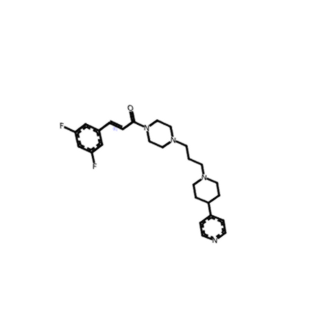 O=C(/C=C/c1cc(F)cc(F)c1)N1CCN(CCCN2CCC(c3ccncc3)CC2)CC1